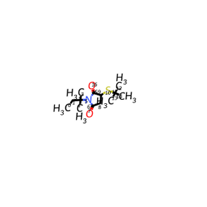 CCC(C)(C)N1C(=O)CC(SC(C)(C)C)C1=O